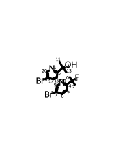 CC(C)(F)c1ccc(Br)cn1.CC(C)(O)c1ccc(Br)cn1